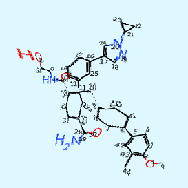 COc1ccc([C@H]2CC[C@H](CC3(c4cccc(-c5cnn(C6CC6)c5)c4)C[C@@H](C(N)=O)CC[C@@H]3C(=O)NCCO)CC2)cc1C